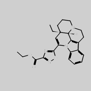 CCOC(=O)c1noc(C2=C[C@]3(CC)CCCN4CCc5c(n2c2ccccc52)[C@@H]43)n1